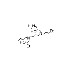 CC=CCN(CCCCN(CC=CCC)CC(O)CN)CC(O)CC